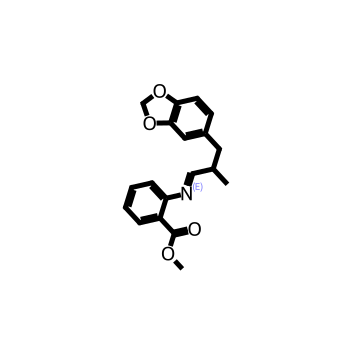 COC(=O)c1ccccc1/N=C/C(C)Cc1ccc2c(c1)OCO2